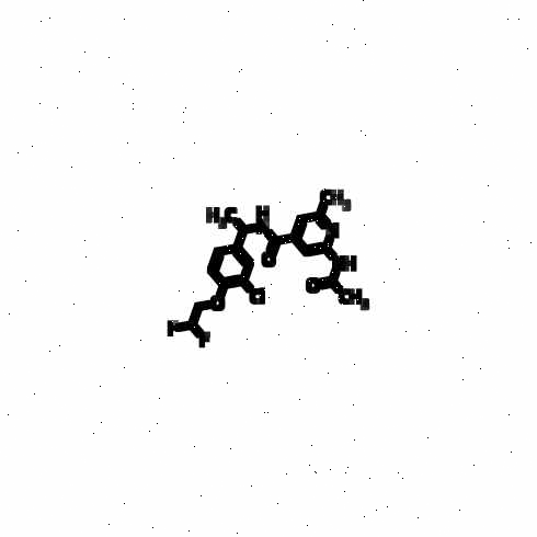 CC(=O)Nc1cc(C(=O)NC(C)c2ccc(OCC(F)F)c(Cl)c2)cc(C)n1